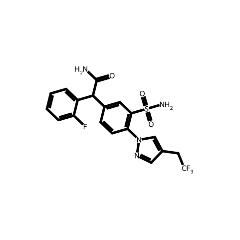 NC(=O)C(c1ccc(-n2cc(CC(F)(F)F)cn2)c(S(N)(=O)=O)c1)c1ccccc1F